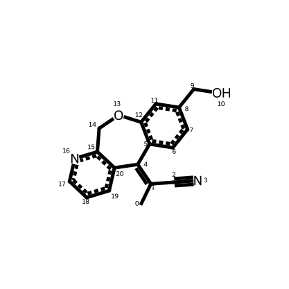 CC(C#N)=C1c2ccc(CO)cc2OCc2ncccc21